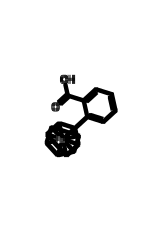 O=C(O)c1ccccc1[C]12[CH]3[CH]4[CH]5[CH]1[Fe]45321678[CH]2[CH]1[CH]6[CH]7[CH]28